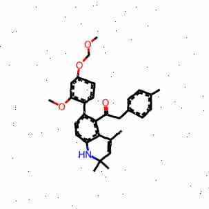 COCOc1ccc(-c2ccc3c(c2C(=O)Cc2ccc(C)cc2)C(C)=CC(C)(C)N3)c(OC)c1